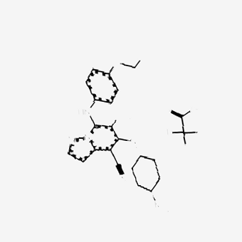 CCOc1ccc(Nc2c(C)c(N[C@H]3CC[C@H](N)CC3)c(C#N)c3ccnn23)cc1.O=C(O)C(F)(F)F